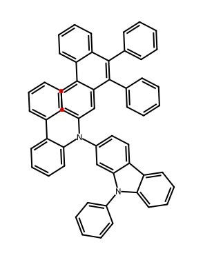 c1ccc(-c2ccccc2N(c2ccc3c(c2)c(-c2ccccc2)c(-c2ccccc2)c2ccccc23)c2ccc3c4ccccc4n(-c4ccccc4)c3c2)cc1